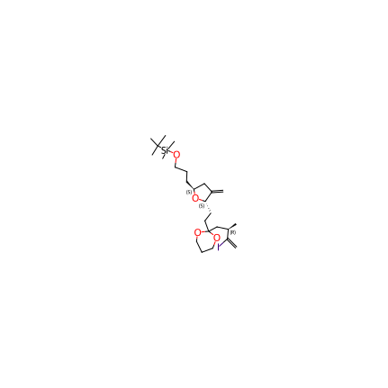 C=C(I)[C@H](C)CC1(CC[C@@H]2O[C@@H](CCCO[Si](C)(C)C(C)(C)C)CC2=C)OCCCO1